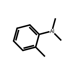 Cc1cccc[c]1[Al]([CH3])[CH3]